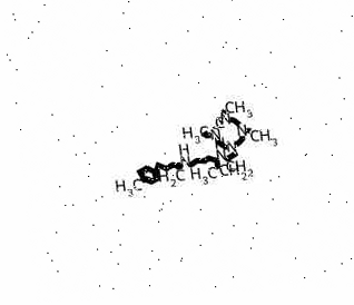 C=C(CCCc1ccc(C)cc1)NCCCCC(NC(=C)CN1CCN(CC)CCN(CC)CCN(CC)CC1)C(=C)C